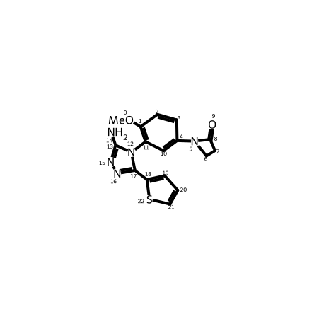 COc1ccc(N2CCC2=O)cc1-n1c(N)nnc1-c1cccs1